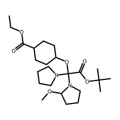 CCOC(=O)C1CCC(OC(C(=O)OC(C)(C)C)(N2CCCC2)N2CCCC2OC)CC1